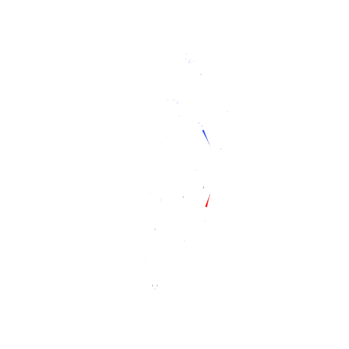 COC(=O)OP(=O)(O)C(C)(C)O[C@@H]1CC[C@H](n2ccc(N)nc2=O)C1